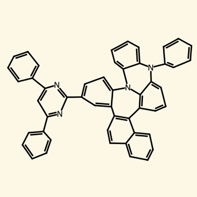 c1ccc(-c2cc(-c3ccccc3)nc(-c3ccc4c(c3)-c3ccc5ccccc5c3-c3cccc5c3N4c3ccccc3N5c3ccccc3)n2)cc1